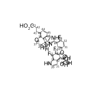 [2H]C([2H])([2H])[C@@]1(c2c[nH]c(-c3cc(Oc4c(F)c(F)c5[nH]ccc5c4S(=O)(=O)C([2H])([2H])[2H])ccc3F)n2)CCOc2c(CCC(=O)O)cccc21